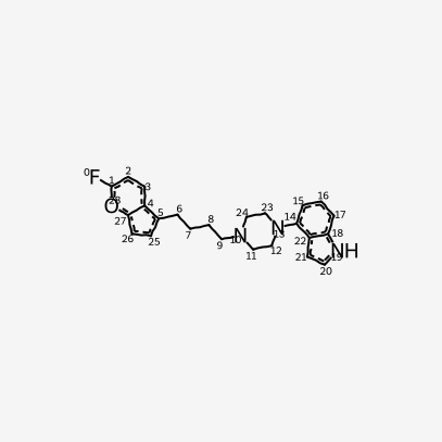 Fc1ccc2c(CCCCN3CCN(c4cccc5[nH]ccc45)CC3)ccc-2o1